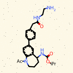 CC(=O)N1CCCC(NC(=O)OC(C)C)c2cc(-c3ccc(CC(=O)NCCN)cc3)ccc21